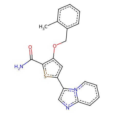 Cc1ccccc1COc1cc(-c2cnc3ccccn23)sc1C(N)=O